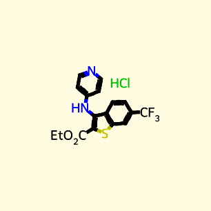 CCOC(=O)c1sc2cc(C(F)(F)F)ccc2c1Nc1ccncc1.Cl